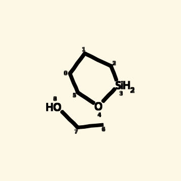 C1CC[SiH2]OC1.CCO